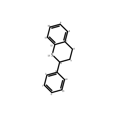 c1ccc(C2CCc3ccccc3S2)cc1